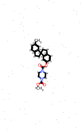 COC(=O)N1CCN(C(=O)Oc2ccc3c(c2)C2(CCc4ccc(C)cc42)CC3)CC1